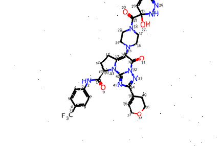 O=C(Nc1ccc(C(F)(F)F)cc1)[C@H]1CCc2c(N3CCN(C(=O)C4(O)C=CC=NN4)CC3)c(=O)n3nc(C4=CCOCC4)nc3n21